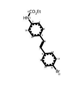 CCOC(=O)Nc1ccc(C=Cc2ccc(Br)cc2)cc1